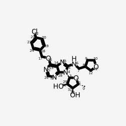 C[C@H]1O[C@@H](n2c(NCC3CCOC3)nc3c(OCc4ccc(Cl)cc4)ncnc32)[C@H](O)[C@@H]1O